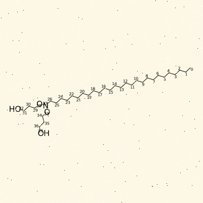 CCCCCCCCCCCCCCCCCCCCCCCCCCCN(OCCCO)OCCCO